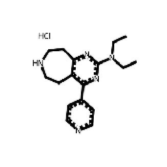 CCN(CC)c1nc2c(c(-c3ccncc3)n1)CCNCC2.Cl